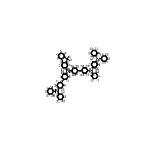 CC1(C)c2ccccc2-c2ccc(N(c3ccc(-c4ccc(N(c5ccccc5)c5ccccc5)cc4)cc3)c3ccc(-c4ccc(N(c5ccccc5)c5ccc(N(c6ccccc6)c6ccccc6)cc5)cc4)cc3)cc21